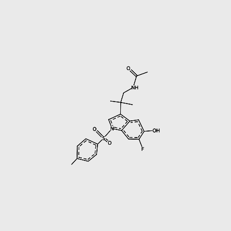 CC(=O)NCC(C)(C)c1cn(S(=O)(=O)c2ccc(C)cc2)c2cc(F)c(O)cc12